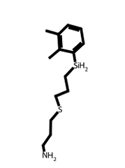 Cc1cccc([SiH2]CCCSCCCN)c1C